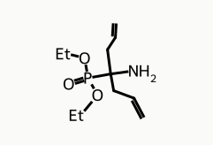 C=CCC(N)(CC=C)P(=O)(OCC)OCC